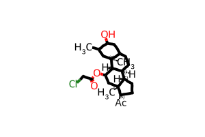 CC(=O)[C@H]1CC[C@H]2[C@@H]3CCC4CC(O)C(C)C[C@]4(C)[C@H]3C(OC(=O)CCl)C[C@]12C